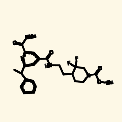 CNC(=O)c1cc(C(=O)NCC[C@@H]2CCN(C(=O)OC(C)(C)C)CC2(F)F)cc(C(C)c2ccccc2)n1